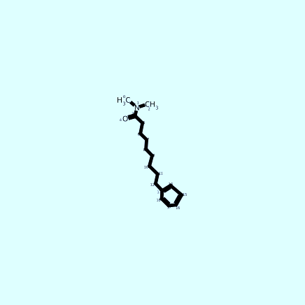 CN(C)C(=O)CCCCCCCCc1ccccc1